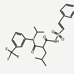 CC(C)CC(C(=O)NS(=O)(=O)C=Cc1ccccc1)C(=O)N(c1cccc(C(F)(F)F)c1)C(C)C